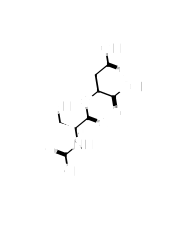 CC(=O)N[C@@H](CS)C(=O)OC(CC(=O)O)C(=O)O